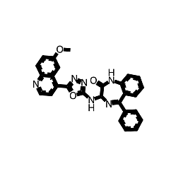 COc1ccc2nccc(-c3nnc(NC4N=C(c5ccccc5)c5ccccc5NC4=O)o3)c2c1